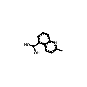 Cc1ccc2c(B(O)O)cccc2n1